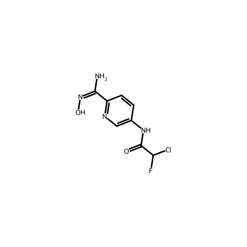 N/C(=N/O)c1ccc(NC(=O)C(F)Cl)cn1